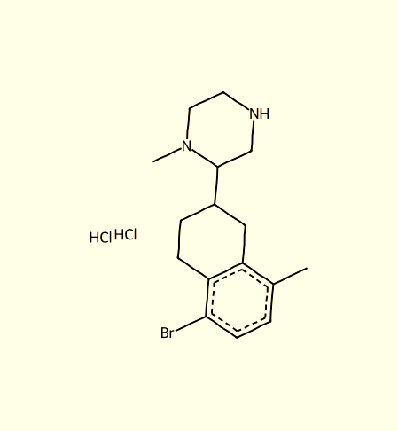 Cc1ccc(Br)c2c1CC(C1CNCCN1C)CC2.Cl.Cl